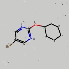 Brc1cnc(OC2CC[CH]CC2)nc1